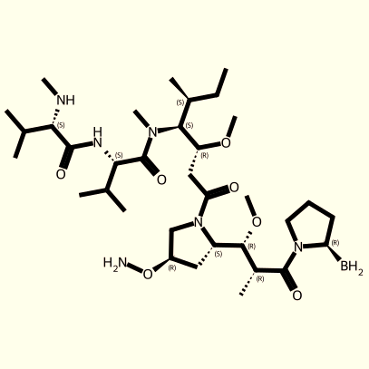 B[C@@H]1CCCN1C(=O)[C@H](C)[C@@H](OC)[C@@H]1C[C@@H](ON)CN1C(=O)C[C@@H](OC)[C@H]([C@@H](C)CC)N(C)C(=O)[C@@H](NC(=O)[C@@H](NC)C(C)C)C(C)C